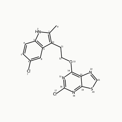 Cc1[nH]c2ccc(Cl)cc2c1CCOc1nc(Cl)nc2scnc12